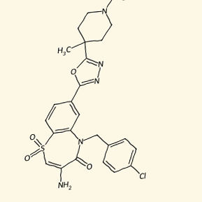 CC1(c2nnc(-c3ccc4c(c3)N(Cc3ccc(Cl)cc3)C(=O)C(N)=CS4(=O)=O)o2)CCN(C(=O)O)CC1